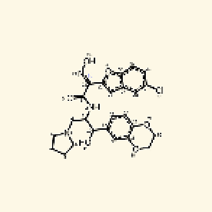 O=C(NC(CN1CCCC1)C(O)c1ccc2c(c1)OCCO2)/C(=N/O)c1cc2cc(Cl)ccc2o1